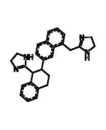 c1ccc2c(c1)CCC(c1ccc3cccc(CC4=NCCN4)c3c1)C2C1=NCCN1